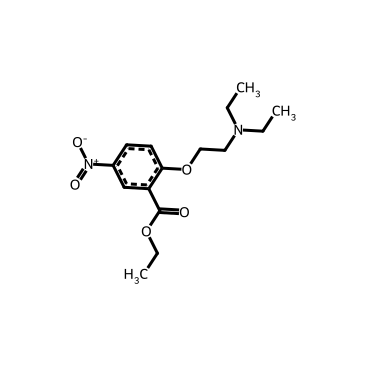 CCOC(=O)c1cc([N+](=O)[O-])ccc1OCCN(CC)CC